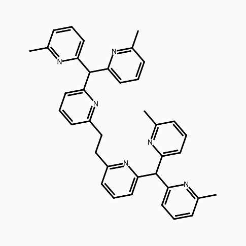 Cc1cccc(C(c2cccc(C)n2)c2cccc(CCc3cccc(C(c4cccc(C)n4)c4cccc(C)n4)n3)n2)n1